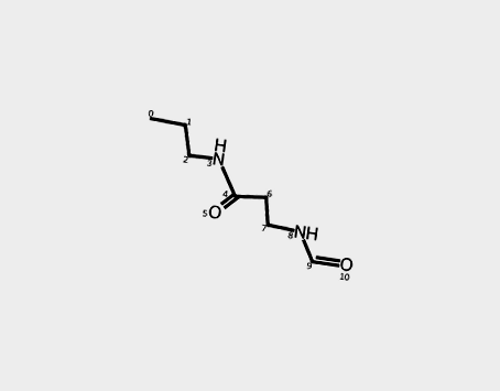 CCCNC(=O)CCNC=O